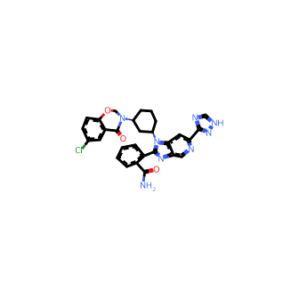 NC(=O)c1ccccc1-c1nc2cnc(-c3nc[nH]n3)cc2n1[C@@H]1CCC[C@H](N2COc3ccc(Cl)cc3C2=O)C1